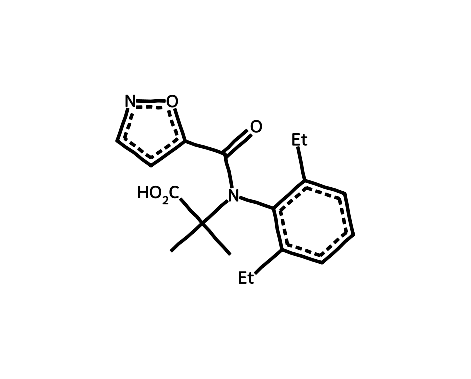 CCc1cccc(CC)c1N(C(=O)c1ccno1)C(C)(C)C(=O)O